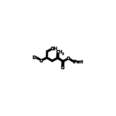 C=C(CC(CO)OCC)C(=O)OC(C)CCC